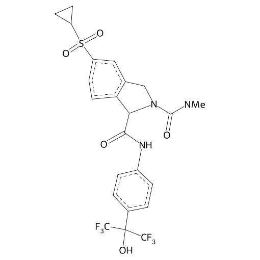 CNC(=O)N1Cc2cc(S(=O)(=O)C3CC3)ccc2C1C(=O)Nc1ccc(C(O)(C(F)(F)F)C(F)(F)F)cc1